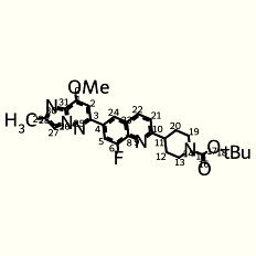 COc1cc(-c2cc(F)c3nc(C4CCN(C(=O)OC(C)(C)C)CC4)ccc3c2)nn2cc(C)nc12